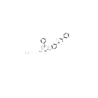 O=C(O)CCNC(=O)C(Cc1ccc(-c2ncc(-c3ccccc3)cn2)cc1)NC(=O)c1ccccc1